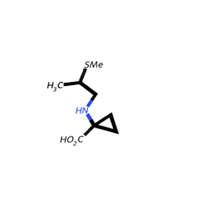 CSC(C)CNC1(C(=O)O)CC1